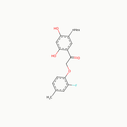 CCCCCCc1cc(C(=O)COc2ccc(C)cc2F)c(O)cc1O